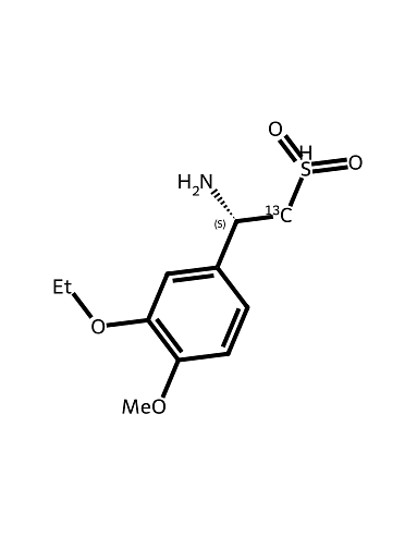 CCOc1cc([C@H](N)[13CH2][SH](=O)=O)ccc1OC